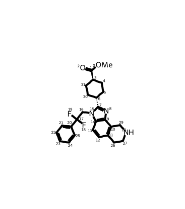 COC(=O)[C@H]1CC[C@H](c2nc3c4c(ccc3n2CC(F)(F)c2ccccc2)CCNC4)CC1